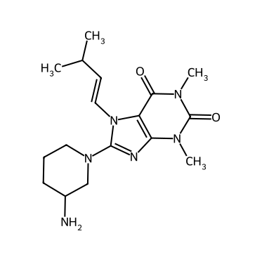 CC(C)C=Cn1c(N2CCCC(N)C2)nc2c1c(=O)n(C)c(=O)n2C